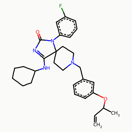 C=CC(C)Oc1cccc(CN2CCC3(CC2)C(NC2CCCCC2)=NC(=O)N3c2cccc(F)c2)c1